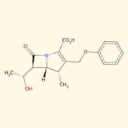 C[C@@H](O)[C@H]1C(=O)N2C(C(=O)O)=C(COc3ccccc3)[C@H](C)[C@H]12